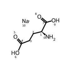 N[C@@H](CCC(=O)O)C(=O)O.[Na]